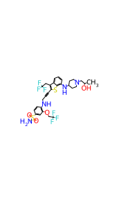 CC(O)CN1CCC(Nc2cccc3c(CC(F)(F)F)c(C#CCNc4ccc(S(N)(=O)=O)cc4OCC(F)(F)F)sc23)CC1